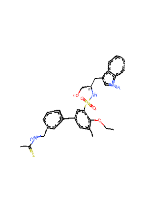 CCOc1c(C)cc(-c2cccc(CNC(C)=S)c2)cc1S(=O)(=O)N[C@@H](CO)Cc1c[nH]c2ccccc12